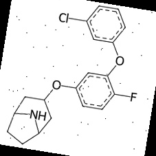 Fc1ccc(OC2CC3CCC(C2)N3)cc1Oc1cccc(Cl)c1